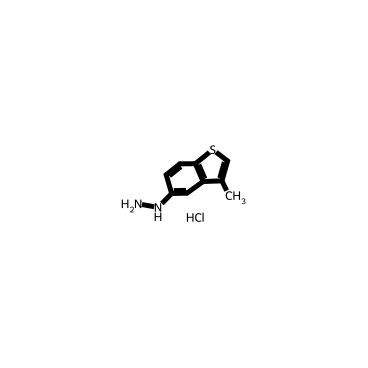 Cc1csc2ccc(NN)cc12.Cl